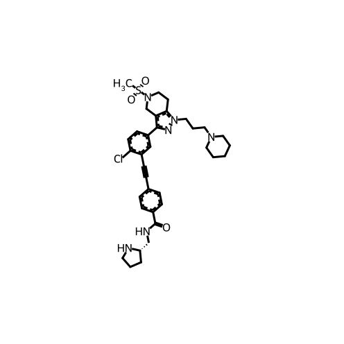 CS(=O)(=O)N1CCc2c(c(-c3ccc(Cl)c(C#Cc4ccc(C(=O)NC[C@@H]5CCCN5)cc4)c3)nn2CCCN2CCCCC2)C1